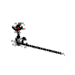 CCCCc1nc2c(NC(=O)OCc3ccc(NC(=O)[C@H](C)NC(=O)[C@@H](NC(=O)[C@H](CCCCNC(=O)CCOCCOCCOCCOCCOCCOCCOCCOCCOCCOCCOCCOC)NC(=O)CCN4C(=O)C=CC4=O)C(C)C)cc3)nc3cc(C(=O)O)ccc3c2n1Cc1ccc(CN(C)C)cc1